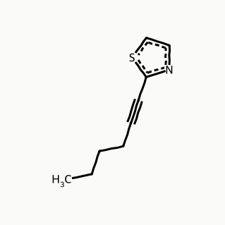 CCCCC#Cc1nccs1